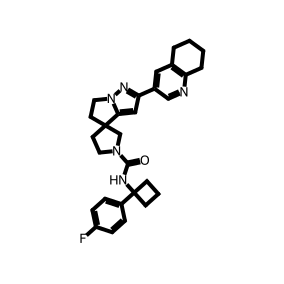 O=C(NC1(c2ccc(F)cc2)CCC1)N1CCC2(CCn3nc(-c4cnc5c(c4)CCCC5)cc32)C1